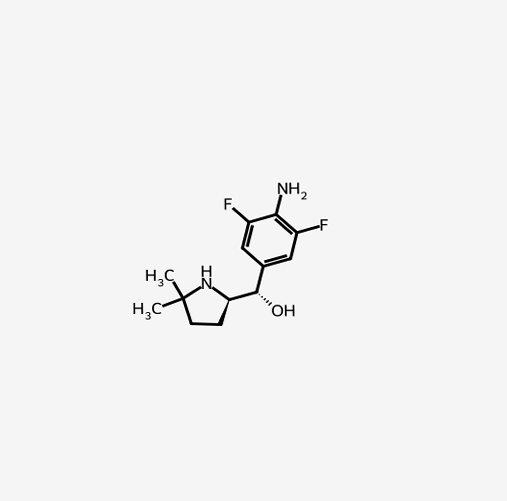 CC1(C)CC[C@H]([C@@H](O)c2cc(F)c(N)c(F)c2)N1